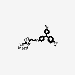 CCC(=O)N(COC)OC(=O)CCCOc1ccc(C(c2ccc(N(C)C)cc2)c2ccc(N(C)C)cc2)cc1